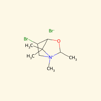 CC1OC2C(Br)C[N+]1(C)C2(C)C.[Br-]